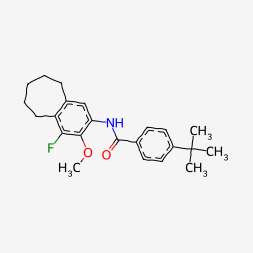 COc1c(NC(=O)c2ccc(C(C)(C)C)cc2)cc2c(c1F)CCCCC2